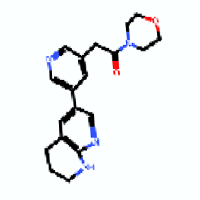 O=C(Cc1cncc(-c2cnc3c(c2)CCCN3)c1)N1CCOCC1